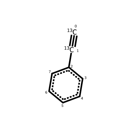 [13CH]#[13C]c1ccccc1